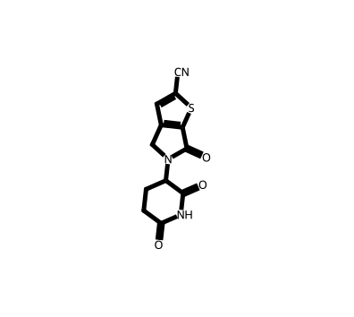 N#Cc1cc2c(s1)C(=O)N(C1CCC(=O)NC1=O)C2